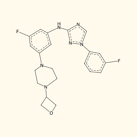 Fc1cc(Nc2ncn(-c3cccc(F)c3)n2)cc(N2CCN(C3COC3)CC2)c1